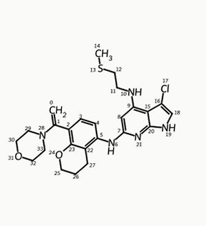 C=C(c1ccc(Nc2cc(NCCSC)c3c(Cl)c[nH]c3n2)c2c1OCCC2)N1CCOCC1